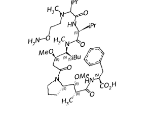 CC[C@H](C)[C@@H]([C@@H](CC(=O)N1CCC[C@H]1[C@H](OC)[C@@H](C)C(=O)N[C@@H](Cc1ccccc1)C(=O)O)OC)N(C)C(=O)[C@@H](NC(=O)C(C(C)C)N(C)CCON)C(C)C